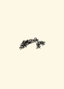 C/C(=N\OC(=O)N(C)C[C@@H]1C[C@@H](O[Si](C)(C)C(C)(C)C)CN1C(=O)OC(C)(C)C)[C@H]1CC[C@H]2[C@@H]3CCC4=CC(=O)CC[C@]4(C)[C@H]3CC[C@]12C